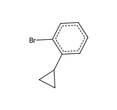 Brc1ccccc1C1CC1